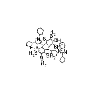 Bc1c(B)c(B)c2c(-c3cccc(-n4c(-c5ccccc5)nc5ccccc54)c3)c3c(B)c(B)c(B)c(B)c3c(-c3cc(-c4ccccc4)cc(-c4ccccc4)c3)c2c1B